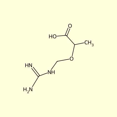 CC(OCNC(=N)N)C(=O)O